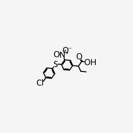 CCC(C(=O)O)c1ccc(Sc2ccc(Cl)cc2)c([N+](=O)[O-])c1